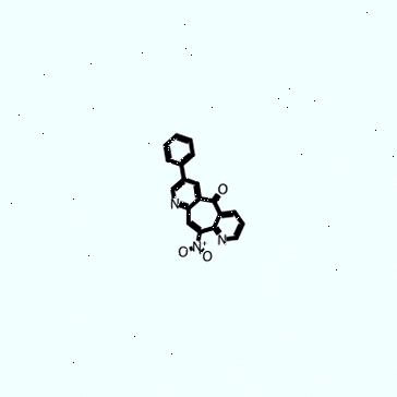 O=c1c2cc(-c3ccccc3)cnc2cc([N+](=O)[O-])c2ncccc12